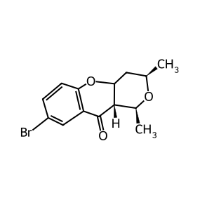 C[C@@H]1CC2Oc3ccc(Br)cc3C(=O)[C@H]2[C@H](C)O1